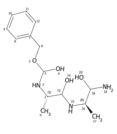 C[C@H](NC(O)OCc1ccccc1)C(O)N[C@H](C)C(N)O